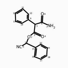 N#CC(OC(=O)C(C(N)=O)c1ccccc1)c1ccccc1